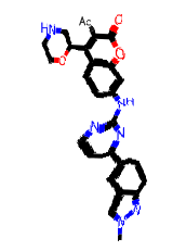 CC(=O)c1c(C2CNCCO2)c2ccc(Nc3nccc(-c4ccc5nn(C)cc5c4)n3)cc2oc1=O